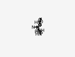 CNC(=S)NNC(=O)CC1(c2cccc(NC(=O)OC(C)(C)C)c2)CC(C#N)C1